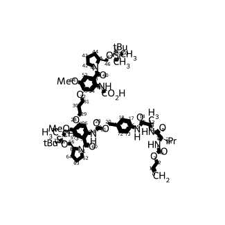 C=CCOC(=O)N[C@H](C(=O)N[C@@H](C)C(=O)Nc1ccc(COC(=O)Nc2cc(OCCCOc3cc(NC(=O)O)c(C(=O)N4CCC[C@H]4CO[Si](C)(C)C(C)(C)C)cc3OC)c(OC)cc2C(=O)N2CCC[C@H]2CO[Si](C)(C)C(C)(C)C)cc1)C(C)C